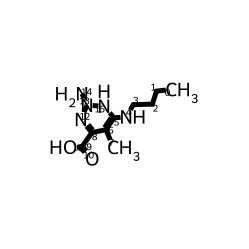 CCCCNC1=C(C)C(C(=O)O)=NN(N)N1